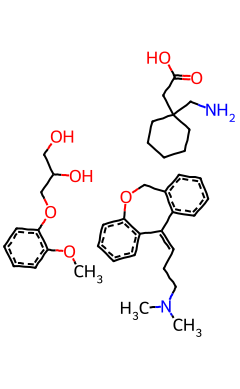 CN(C)CCC=C1c2ccccc2COc2ccccc21.COc1ccccc1OCC(O)CO.NCC1(CC(=O)O)CCCCC1